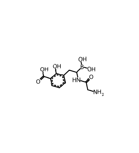 NCC(=O)NC(Cc1cccc(C(=O)O)c1O)B(O)O